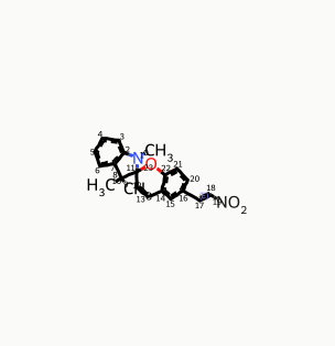 CN1c2ccccc2C(C)(C)C12C=Cc1cc(/C=C/[N+](=O)[O-])ccc1O2